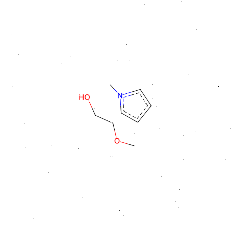 COCCO.Cn1cccc1